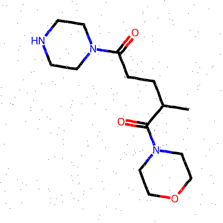 CC(C[CH]C(=O)N1CCNCC1)C(=O)N1CCOCC1